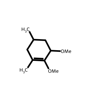 COC1=C(C)CC(C)CC1OC